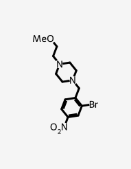 COCCN1CCN(Cc2ccc([N+](=O)[O-])cc2Br)CC1